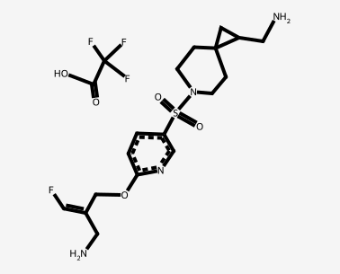 NC/C(=C/F)COc1ccc(S(=O)(=O)N2CCC3(CC2)CC3CN)cn1.O=C(O)C(F)(F)F